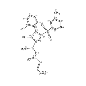 CNC(OC(=O)/C=C/C(=O)O)c1cn(S(=O)(=O)c2cncc(C)c2)c(-c2cccnc2F)c1F